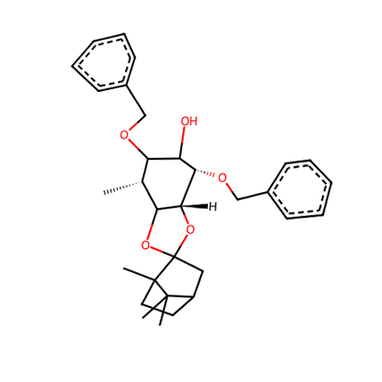 C[C@@H]1C(OCc2ccccc2)C(O)[C@H](OCc2ccccc2)[C@@H]2OC3(CC4CCC3(C)C4(C)C)OC12